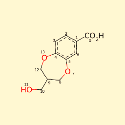 O=C(O)c1ccc2c(c1)OCC(CO)CO2